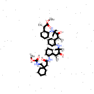 CCCCOC(=O)[C@@H](CC)[C@@H]1CCCC[C@@H]1NC(C)(C)C(=O)[C@@H](CC)[C@@H]1CCCC[C@@H]1NC(C)(CC)C(=O)[C@@H](CC)[C@@H]1CCCC[C@@H]1NC(=O)CC1(CNC(=O)OC(C)(C)C)CCCCC1